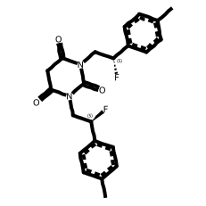 Cc1ccc([C@H](F)CN2C(=O)CC(=O)N(C[C@@H](F)c3ccc(C)cc3)C2=O)cc1